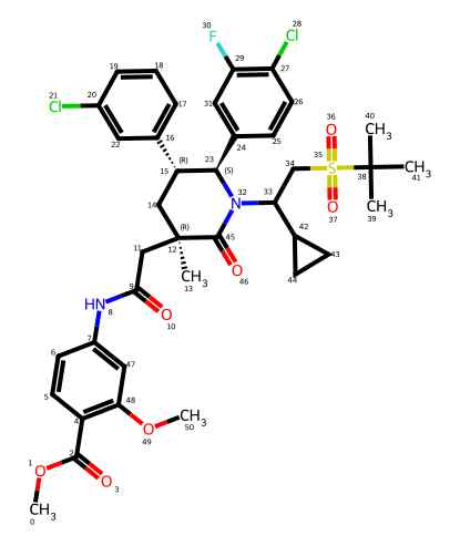 COC(=O)c1ccc(NC(=O)C[C@@]2(C)C[C@H](c3cccc(Cl)c3)[C@@H](c3ccc(Cl)c(F)c3)N(C(CS(=O)(=O)C(C)(C)C)C3CC3)C2=O)cc1OC